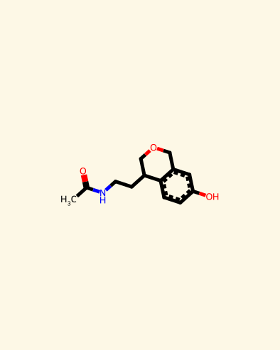 CC(=O)NCCC1COCc2cc(O)ccc21